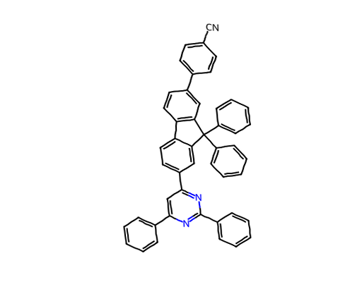 N#Cc1ccc(-c2ccc3c(c2)C(c2ccccc2)(c2ccccc2)c2cc(-c4cc(-c5ccccc5)nc(-c5ccccc5)n4)ccc2-3)cc1